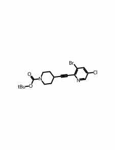 CC(C)(C)OC(=O)N1CCC(C#Cc2ncc(Cl)cc2Br)CC1